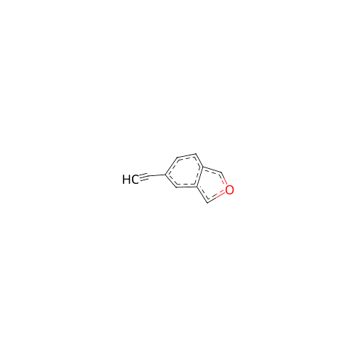 C#Cc1ccc2cocc2c1